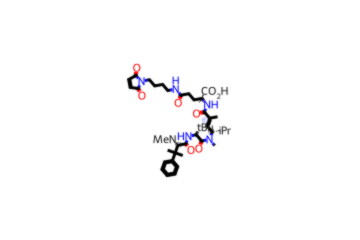 CN[C@H](C(=O)NC(C(=O)N(C)[C@H](/C=C(\C)C(=O)N[C@H](CCC(=O)NCCCCN1C(=O)C=CC1=O)C(=O)O)C(C)C)C(C)(C)C)C(C)(C)c1ccccc1